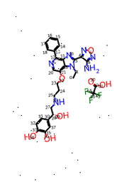 CCn1c(-c2nonc2N)nc2c(-c3ccccc3)ncc(OCCCNC[C@H](O)c3ccc(O)c(O)c3)c21.O=C(O)C(F)(F)F